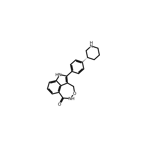 O=C1NOCc2c(-c3ccc([C@H]4CCCNC4)cc3)[nH]c3cccc1c23